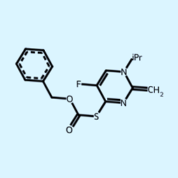 C=C1N=C(SC(=O)OCc2ccccc2)C(F)=CN1C(C)C